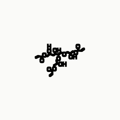 C=CC(=O)OCC(O)COCC(OCC(O)COC(=O)C=C)C(O)CC(O)COC(=O)C=C